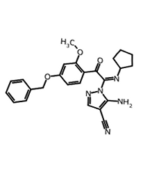 COc1cc(OCc2ccccc2)ccc1C(=O)/C(=N\C1CCCC1)n1ncc(C#N)c1N